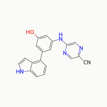 N#Cc1cnc(Nc2cc(O)cc(-c3cccc4[nH]ccc34)c2)cn1